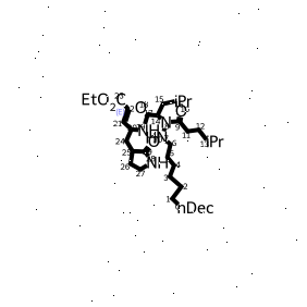 CCCCCCCCCCCCCCCCNN(C(=O)CCC(C)C)C(CC(C)C)C(=O)NC(/C=C/C(=O)OCC)CC1CCNC1=O